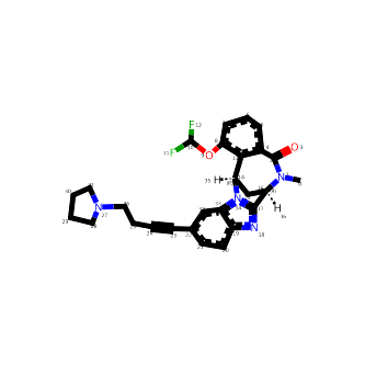 CN1C(=O)c2cccc(OC(F)F)c2[C@H]2C[C@@H]1c1nc3ccc(C#CCCN4CCCC4)cc3n12